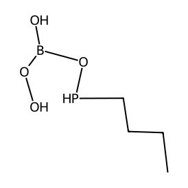 CCCCPOB(O)OO